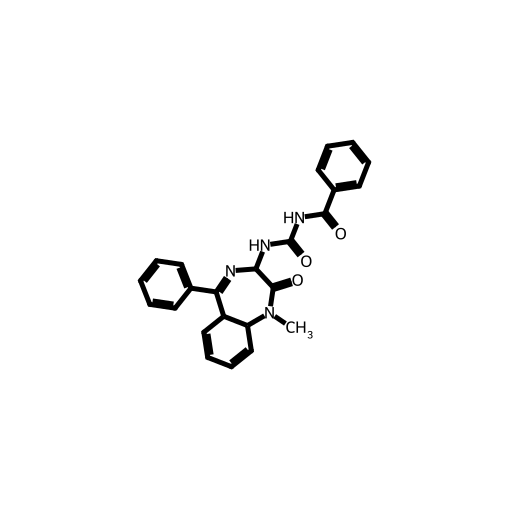 CN1C(=O)C(NC(=O)NC(=O)c2ccccc2)N=C(c2ccccc2)C2C=CC=CC21